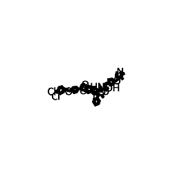 CC[C@@H](c1ccccc1)N1Cc2cc3c(cc2C[C@H]1C(=O)NC(Cc1ccc(Oc2ccnc(C)c2C)cc1)C(=O)O)OC[C@H](c1ccc(OCc2ccc(Cl)c(Cl)c2)cc1)O3